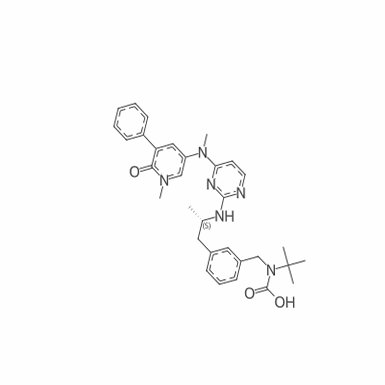 C[C@@H](Cc1cccc(CN(C(=O)O)C(C)(C)C)c1)Nc1nccc(N(C)c2cc(-c3ccccc3)c(=O)n(C)c2)n1